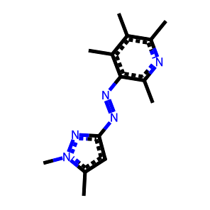 Cc1nc(C)c(N=Nc2cc(C)n(C)n2)c(C)c1C